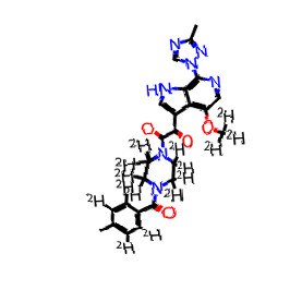 [2H]c1c([2H])c(C(=O)N2C([2H])([2H])C([2H])([2H])N(C(=O)C(=O)c3c[nH]c4c(-n5cnc(C)n5)ncc(OC([2H])([2H])[2H])c34)C([2H])([2H])C2([2H])[2H])c([2H])c([2H])c1C